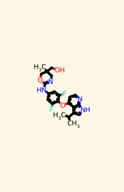 CC(C)c1c[nH]c2nccc(Oc3c(F)cc(NC4=NCC(C)(CO)CO4)cc3F)c12